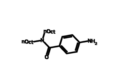 CCCCCCCCN(CCCCCCCC)C(=O)c1ccc(N)cc1